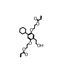 C=CC(=O)OCCOc1cc(C2CCCCC2)c(OCCOC(=O)C=C)cc1CCO